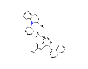 CC1=Cc2c(-c3cccc4ccccc34)cccc2C1CC1C(C)=Cc2c1cccc2N1c2ccccc2CCC1C